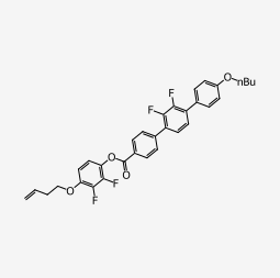 C=CCCOc1ccc(OC(=O)c2ccc(-c3ccc(-c4ccc(OCCCC)cc4)c(F)c3F)cc2)c(F)c1F